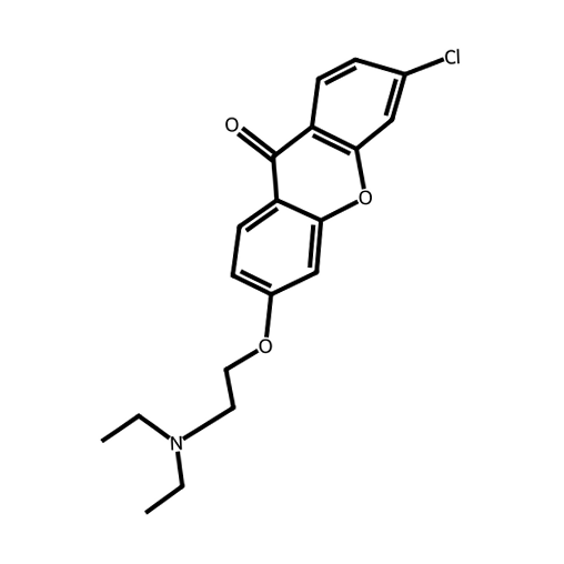 CCN(CC)CCOc1ccc2c(=O)c3ccc(Cl)cc3oc2c1